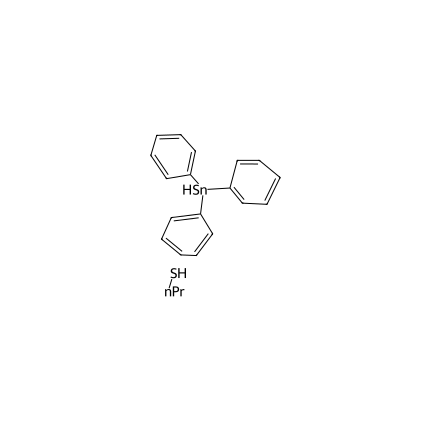 [CH2]CCS.c1cc[c]([SnH]([c]2ccccc2)[c]2ccccc2)cc1